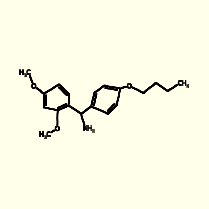 CCCCOc1ccc(C(N)c2ccc(OC)cc2OC)cc1